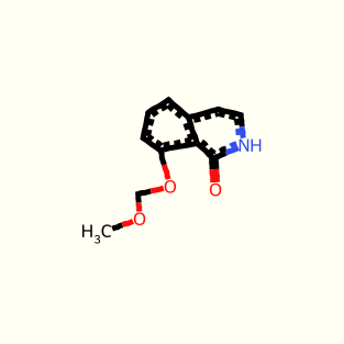 COCOc1cccc2cc[nH]c(=O)c12